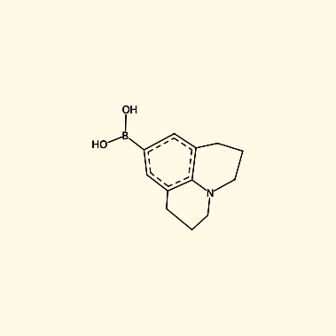 OB(O)c1cc2c3c(c1)CCCN3CCC2